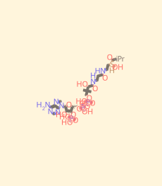 CC(C)C(=O)[SH](O)CCNC(=O)CCNC(=O)C(O)C(C)(C)COP(=O)(O)OP(=O)(O)OC[C@H]1O[C@@H](n2cnc3c(N)ncnc32)[C@H](O)[C@@H]1OP(=O)(O)O